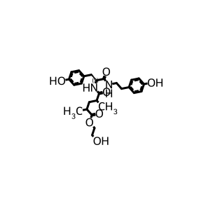 CC(CC(C)C(=O)OCCO)C(=O)N[C@@H](Cc1ccc(O)cc1)C(=O)NCCc1ccc(O)cc1